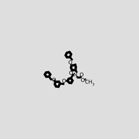 CCOC(=O)CN(Cc1ccc(OCc2ccccc2)cc1)C(=O)c1cccc(OCc2cccc(OCc3ccccc3)c2)c1